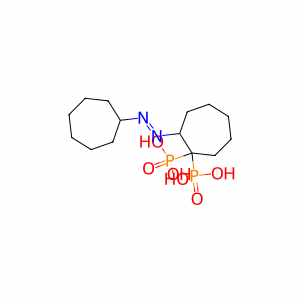 O=P(O)(O)C1(P(=O)(O)O)CCCCCC1N=NC1CCCCCC1